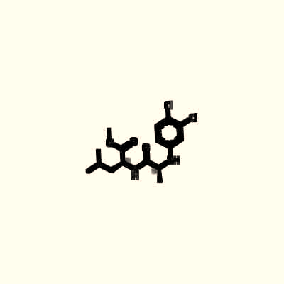 COC(=O)[C@H](CC(C)C)NC(=O)[C@H](C)Nc1ccc(Cl)c(Cl)c1